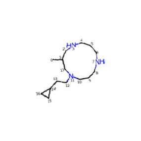 CC1CNCCCNCCCN(CCC2CC2)C1